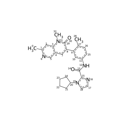 Cc1cc2c(cn1)cc(-c1cc(NC(=O)c3nccn3C3CCCC3)ccc1C)c(=O)n2C